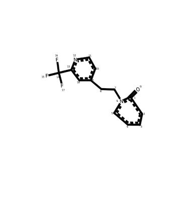 O=c1ccccn1CCc1ccnc(C(F)(F)F)c1